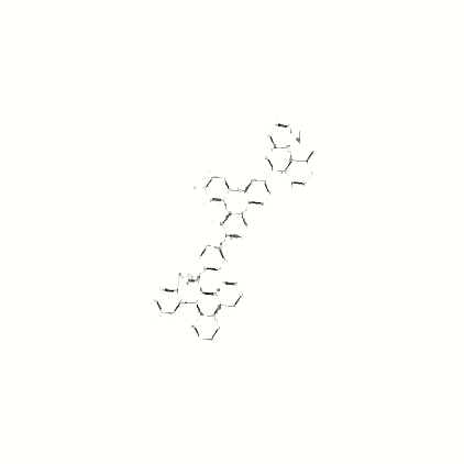 C=C1CC=Cc2c(-c3ccc4c5ccc(-c6ccc(-c7nc8ccccc8c8c9ccccc9c9ccccc9c78)cc6)cc5c5ccccc5c4c3)cc3cccnc3c21